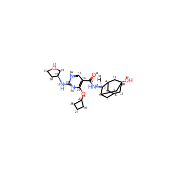 O=C(N[C@H]1C2CC3CC1C[C@@](O)(C3)C2)c1cnc(N[C@H]2CCOC2)nc1OC1CCC1